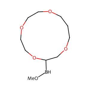 COBC1COCCCOCCOCCO1